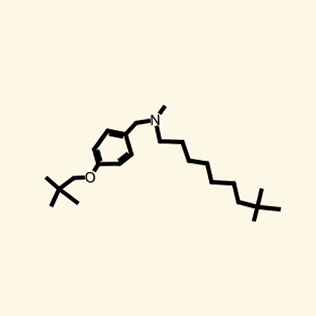 CN(CCCCCCCC(C)(C)C)Cc1ccc(OCC(C)(C)C)cc1